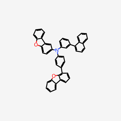 c1cc(-c2cccc3ccccc23)cc(N(c2ccc(-c3cccc4c3oc3ccccc34)cc2)c2ccc3oc4ccccc4c3c2)c1